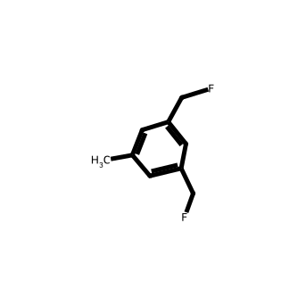 Cc1cc(CF)cc(CF)c1